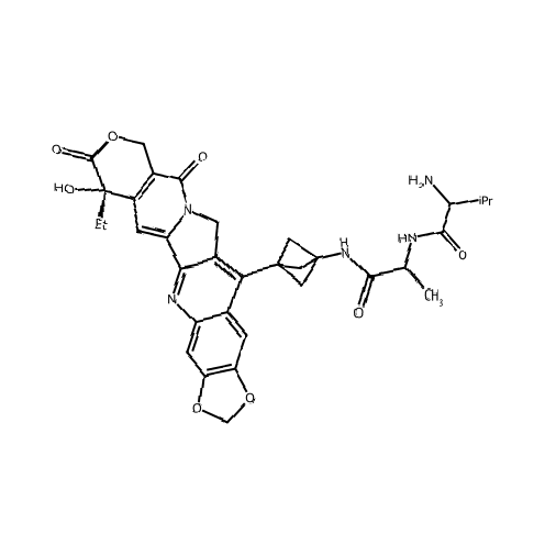 CC[C@@]1(O)C(=O)OCc2c1cc1n(c2=O)Cc2c-1nc1cc3c(cc1c2C12CC(NC(=O)C(C)NC(=O)C(N)C(C)C)(C1)C2)OCO3